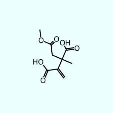 C=C(C(=O)O)C(C)(CC(=O)OC)C(=O)O